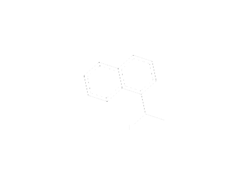 [CH2]C(F)c1cccc2ccccc12